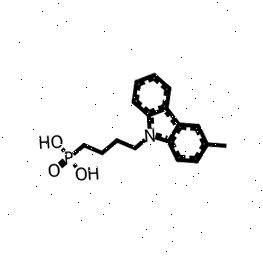 Cc1ccc2c(c1)c1ccccc1n2CCCCP(=O)(O)O